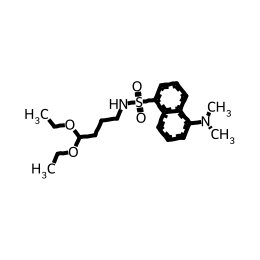 CCOC(CCCNS(=O)(=O)c1cccc2c(N(C)C)cccc12)OCC